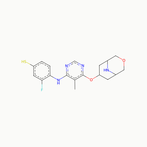 Cc1c(Nc2ccc(S)cc2F)ncnc1OC1CC2COCC(C1)N2